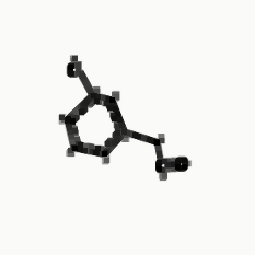 O=[C]Cc1cccc(Cl)c1